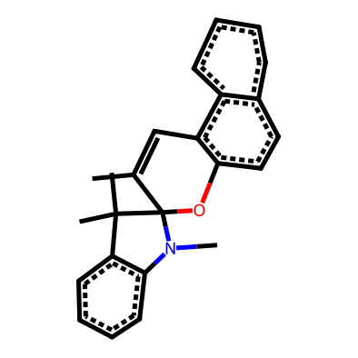 CC1=Cc2c(ccc3ccccc23)OC12N(C)c1ccccc1C2(C)C